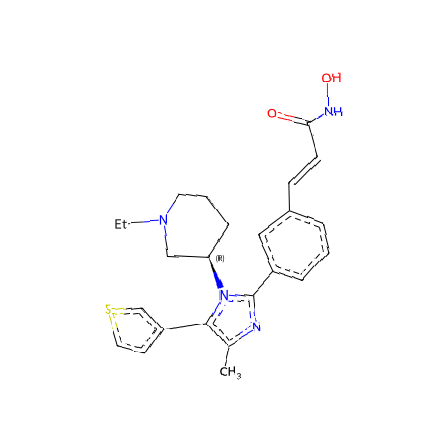 CCN1CCC[C@@H](n2c(-c3cccc(C=CC(=O)NO)c3)nc(C)c2-c2ccsc2)C1